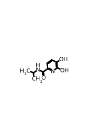 CC(C)NC(=O)c1ccc(O)c(O)n1